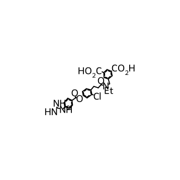 CCN(Cc1cc(C(=O)O)cc(C(=O)O)c1)C(=O)CCc1ccc(OC(=O)c2ccc(NC(=N)N)cc2)cc1Cl